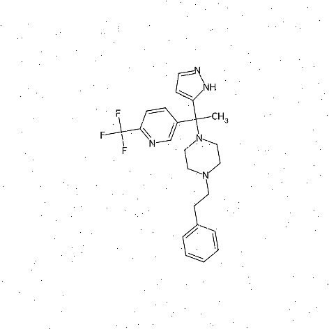 CC(c1ccc(C(F)(F)F)nc1)(c1ccn[nH]1)N1CCN(CCc2ccccc2)CC1